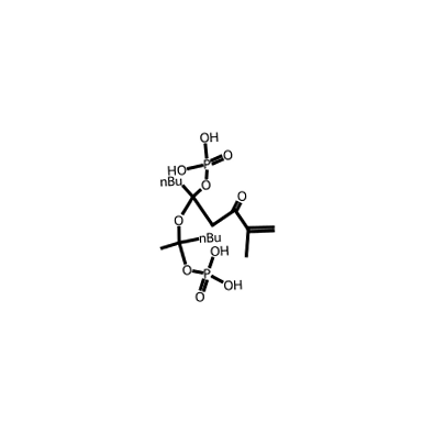 C=C(C)C(=O)CC(CCCC)(OC(C)(CCCC)OP(=O)(O)O)OP(=O)(O)O